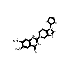 COc1cc2[nH]c(N3CCc4c(ncn4C4CCCC4)C3)nc(=O)c2cc1OC